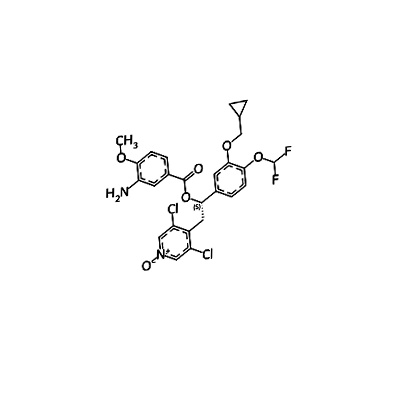 COc1ccc(C(=O)O[C@@H](Cc2c(Cl)c[n+]([O-])cc2Cl)c2ccc(OC(F)F)c(OCC3CC3)c2)cc1N